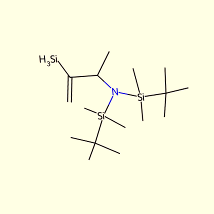 C=C([SiH3])C(C)N([Si](C)(C)C(C)(C)C)[Si](C)(C)C(C)(C)C